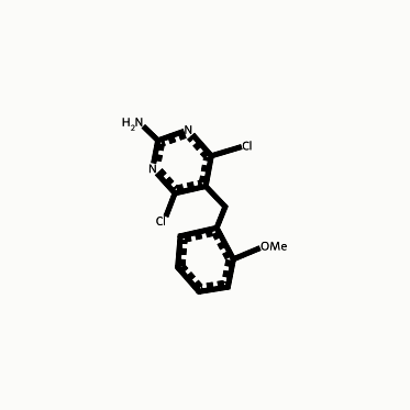 COc1ccccc1Cc1c(Cl)nc(N)nc1Cl